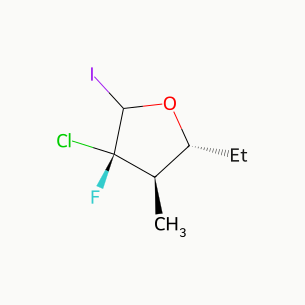 CC[C@H]1OC(I)[C@@](F)(Cl)[C@@H]1C